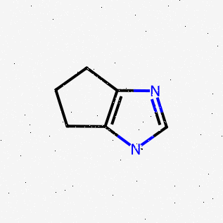 C1=NC2=C(CCC2)[N]1